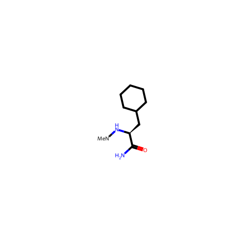 CNN[C@@H](CC1CCCCC1)C(N)=O